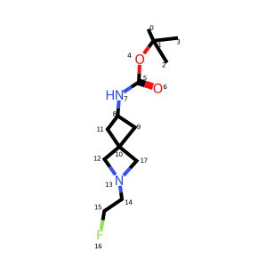 CC(C)(C)OC(=O)NC1CC2(C1)CN(CCF)C2